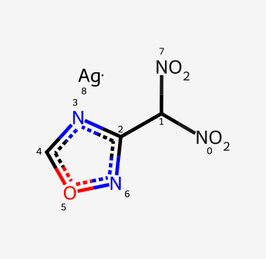 O=[N+]([O-])C(c1ncon1)[N+](=O)[O-].[Ag]